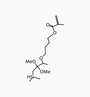 C=C(C)C(=O)OCCCCOC(C)C(C[SiH](C)C)(OC)OC